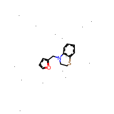 c1coc(CN2CCSc3ccccc32)c1